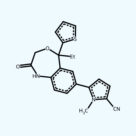 CCC1(c2cccs2)OCC(=O)Nc2ccc(-c3ccc(C#N)n3C)cc21